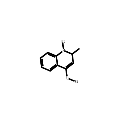 CCOC1=CC(C)N(CC)c2ccccc21